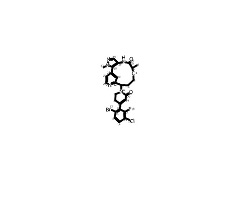 CC1CCCC(N2CCC(c3c(Br)ccc(Cl)c3F)=CC2=O)c2cc(ccn2)-c2c(cnn2C)NC1=O